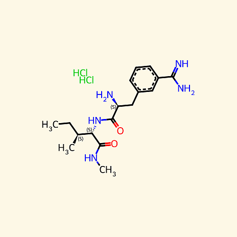 CC[C@H](C)[C@H](NC(=O)[C@@H](N)Cc1cccc(C(=N)N)c1)C(=O)NC.Cl.Cl